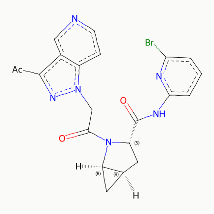 CC(=O)c1nn(CC(=O)N2[C@@H]3C[C@@H]3C[C@H]2C(=O)Nc2cccc(Br)n2)c2ccncc12